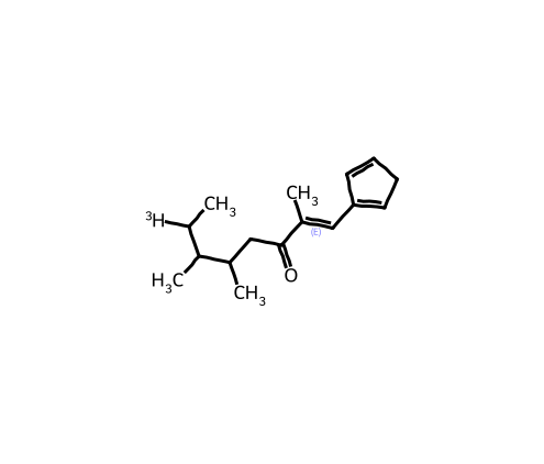 [3H]C(C)C(C)C(C)CC(=O)/C(C)=C/C1=CCC=C1